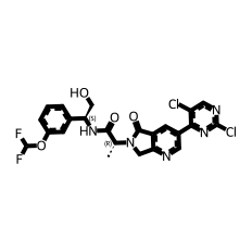 C[C@H](C(=O)N[C@H](CO)c1cccc(OC(F)F)c1)N1Cc2ncc(-c3nc(Cl)ncc3Cl)cc2C1=O